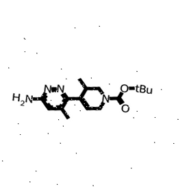 Cc1cc(N)nnc1C1=CCN(C(=O)OC(C)(C)C)CC1C